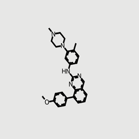 COc1ccc(-c2cccc3cnc(Nc4ccc(C)c(N5CCN(C)CC5)c4)nc23)cc1